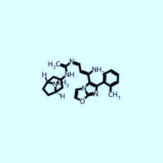 C=C(/N=C\C=C(/N)c1c(-c2ccccc2C)nc2occn12)NC1C[C@H]2CC[C@H](C1)N2C